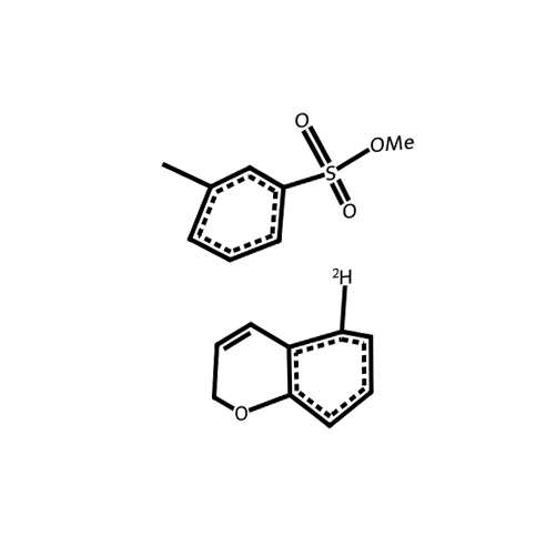 COS(=O)(=O)c1cccc(C)c1.[2H]c1cccc2c1C=CCO2